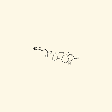 CC1=CC(=O)C[C@@H]2CCC3C4CC[C@H](OC(=O)CCC(=O)O)[C@@]4(C)CCC3[C@@]12C